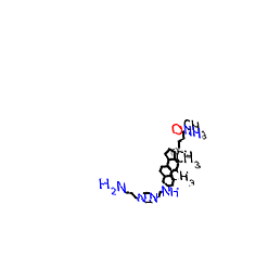 CNC(=O)CCC[C@H]1CCC2C3CCC4CC(NCCN5CCN(CCCN)CC5)CCC4(C)C3CCC21C